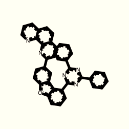 c1ccc(-c2nc(-c3ccccc3)nc(-c3cccc4oc5ccc(-c6ccc7ccc8cccnc8c7n6)cc5c34)n2)cc1